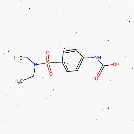 CCN(CC)S(=O)(=O)c1ccc(NC(=O)O)cc1